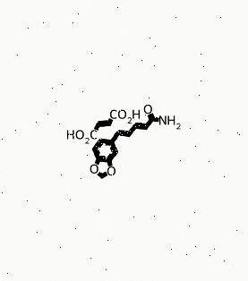 NC(=O)C=CC=Cc1ccc2c(c1)OCO2.O=C(O)C=CC(=O)O